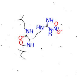 CCC(C)(C)C(=O)N[C@@H](CCCNC(=N)N[N+](=O)[O-])C(=O)NCCC(C)C